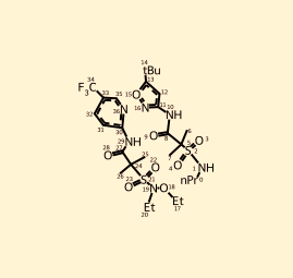 CCCNS(=O)(=O)C(C)(C)C(=O)Nc1cc(C(C)(C)C)on1.CCON(CC)S(=O)(=O)C(C)(C)C(=O)Nc1ccc(C(F)(F)F)cn1